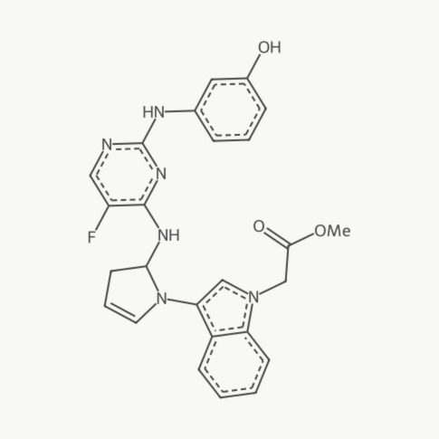 COC(=O)Cn1cc(N2C=CCC2Nc2nc(Nc3cccc(O)c3)ncc2F)c2ccccc21